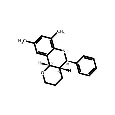 Cc1cc(C)c2c(c1)[C@H]1OCCC[C@H]1[C@H](c1ccccc1)N2